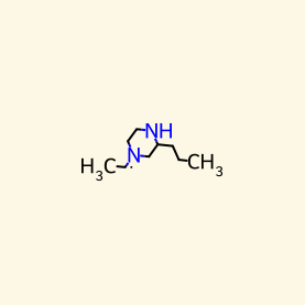 C[CH]N1CCNC(CCC)C1